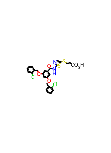 O=C(O)CCSc1cnc(NC(=O)c2cc(OCc3ccccc3Cl)cc(OCc3ccccc3Cl)c2)s1